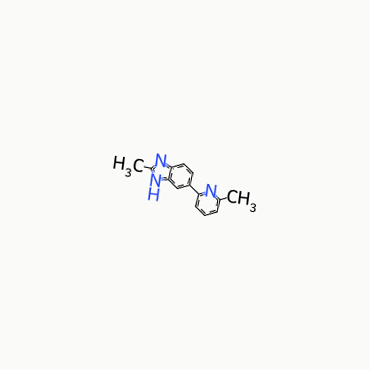 Cc1cccc(-c2ccc3nc(C)[nH]c3c2)n1